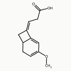 COC1=CCC2CC(=CCC(=O)O)C2=C1